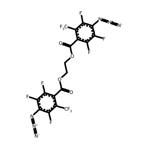 [N-]=[N+]=Nc1c(F)c(F)c(C(=O)OCCOC(=O)c2c(F)c(F)c(N=[N+]=[N-])c(F)c2C(F)(F)F)c(C(F)(F)F)c1F